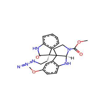 COC(=O)N1CCC2([C@@]3(CCN=[N+]=[N-])C(=O)Nc4ccccc43)c3cc(OC)ccc3N[C@H]12